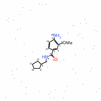 COc1cc(C(=O)NCC2CCCC2)ccc1N